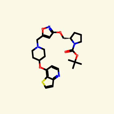 CC(C)(C)OC(=O)N1CCC[C@H]1COc1cc(CN2CCC(Oc3ccnc4ccsc34)CC2)on1